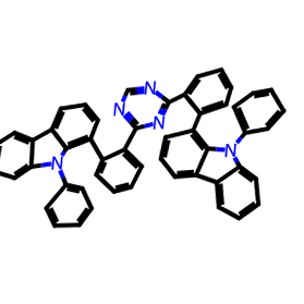 c1ccc(-n2c3ccccc3c3cccc(-c4ccccc4-c4ncnc(-c5ccccc5-c5cccc6c7ccccc7n(-c7ccccc7)c56)n4)c32)cc1